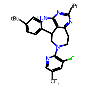 CC(C)c1nc(N)c2c(n1)CCN(c1ncc(C(F)(F)F)cc1Cl)CC2c1ccc(C(C)(C)C)cc1